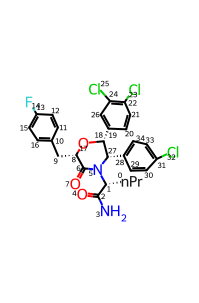 CCC[C@H](C(N)=O)N1C(=O)[C@H](Cc2ccc(F)cc2)O[C@H](c2ccc(Cl)c(Cl)c2)[C@@H]1c1ccc(Cl)cc1